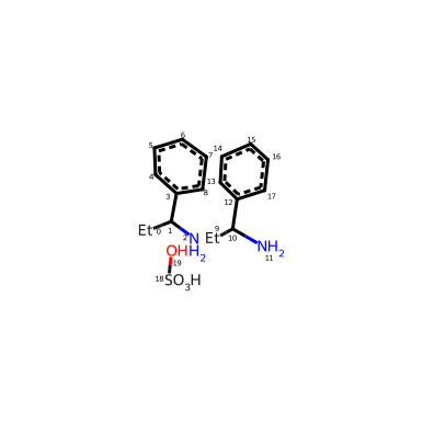 CCC(N)c1ccccc1.CCC(N)c1ccccc1.O=S(=O)(O)O